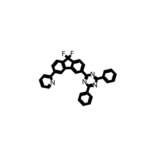 FC1(F)c2ccc(-c3ccccn3)cc2-c2cc(-c3nc(-c4ccccc4)nc(-c4ccccc4)n3)ccc21